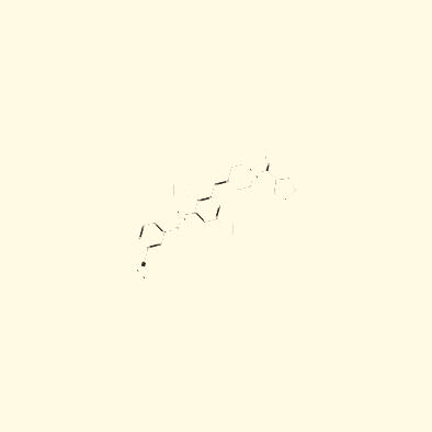 Cc1c(C=C2CCN(C(=O)C3CCCC3)CC2)cc(Cl)cc1NSc1cccc(C#N)c1